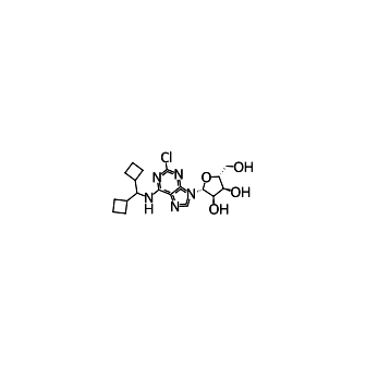 OC[C@H]1O[C@@H](n2cnc3c(NC(C4CCC4)C4CCC4)nc(Cl)nc32)[C@H](O)[C@@H]1O